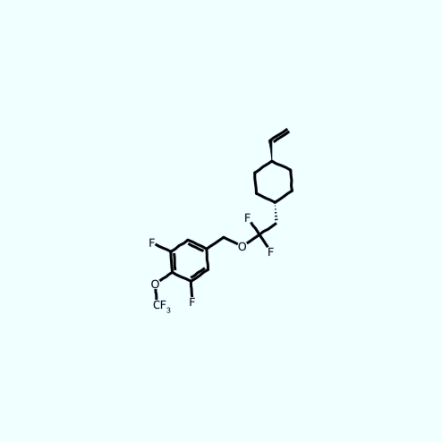 C=C[C@H]1CC[C@H](CC(F)(F)OCc2cc(F)c(OC(F)(F)F)c(F)c2)CC1